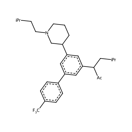 CC(=O)C(CC(C)C)c1cc(-c2ccc(C(F)(F)F)cc2)cc(C2CCCN(CCC(C)C)C2)c1